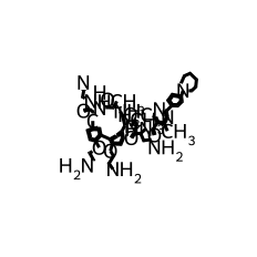 Cc1nc(-c2ccc(N3CCCCCC3)cc2)nc(C)c1C(=O)NC(CCN)C(=O)N(C)C1C(=O)NC(C)C(=O)NC(C(=O)NCC#N)Cc2ccc(OCCN)c(c2)-c2cc1ccc2OCCN